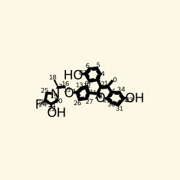 CC1=C(c2cccc(O)c2)C(c2ccc(OC[C@H](C)N3C[C@@H](O)[C@@H](F)C3)cc2)Oc2ccc(O)cc21